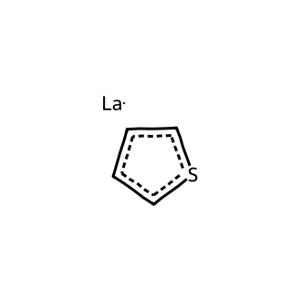 [La].c1ccsc1